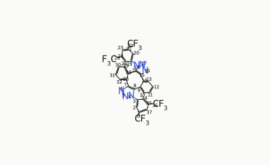 FC(F)(F)c1cc(-n2nnc3c2-c2ccccc2-c2nnn(-c4cc(C(F)(F)F)cc(C(F)(F)F)c4)c2-c2ccccc2-3)cc(C(F)(F)F)c1